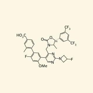 COc1cc(F)c(-c2ccc(C(=O)O)cc2C)cc1-c1cnc(N2CC(F)C2)nc1CN1C(=O)O[C@H](c2cc(C(F)(F)F)cc(C(F)(F)F)c2)C1C